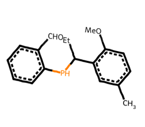 CCC(Pc1ccccc1C=O)c1cc(C)ccc1OC